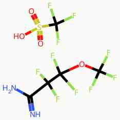 N=C(N)C(F)(F)C(F)(F)OC(F)(F)F.O=S(=O)(O)C(F)(F)F